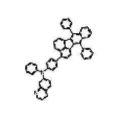 c1ccc(-c2c3c(c(-c4ccccc4)c4ccccc24)-c2ccc(-c4ccc(N(c5ccccc5)c5ccc6cccnc6c5)cc4)c4cccc-3c24)cc1